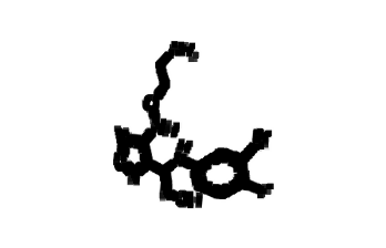 NCCONc1nonc1/C(=N/O)Nc1ccc(F)c(Br)c1